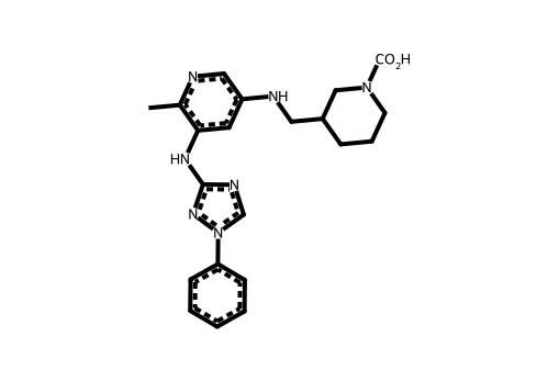 Cc1ncc(NCC2CCCN(C(=O)O)C2)cc1Nc1ncn(-c2ccccc2)n1